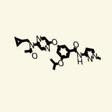 CC(=O)N(CC1CC1)c1cnc(Oc2cc(OC(C)C)cc(C(=O)Nc3ccn(C)n3)c2)cn1